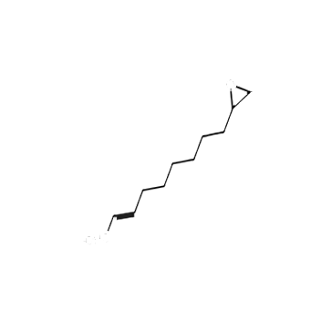 O=[C]C=CCCCCCCC1CO1